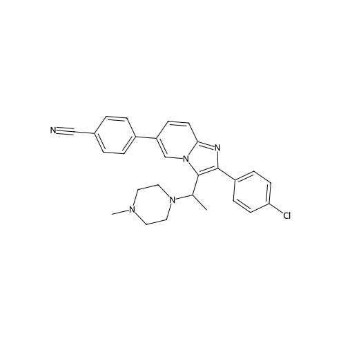 CC(c1c(-c2ccc(Cl)cc2)nc2ccc(-c3ccc(C#N)cc3)cn12)N1CCN(C)CC1